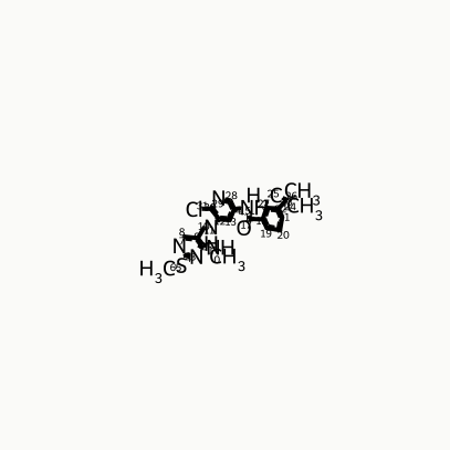 CNc1nc(SC)ncc1CNc1cc(NC(=O)c2cccc(C(C)(C)C)c2)cnc1Cl